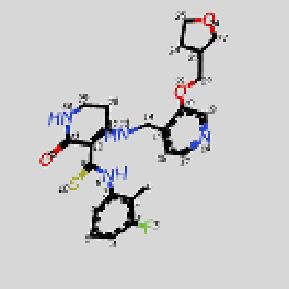 Cc1c(F)cccc1NC(=S)C1=C(NCc2ccncc2OCC2CCOC2)CCNC1=O